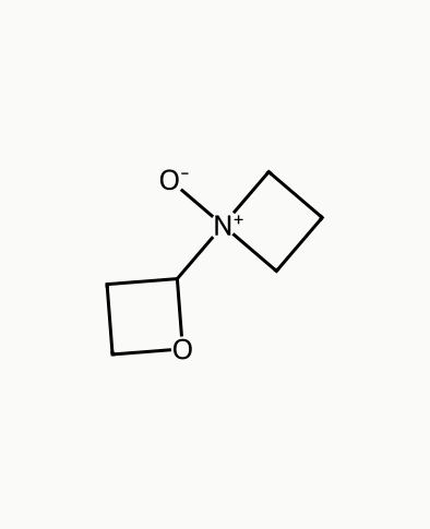 [O-][N+]1(C2CCO2)CCC1